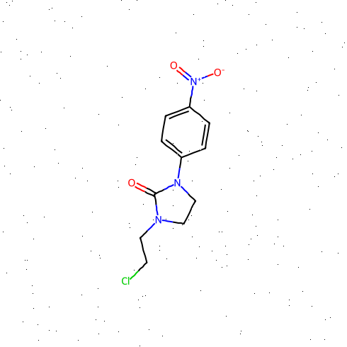 O=C1N(CCCl)CCN1c1ccc([N+](=O)[O-])cc1